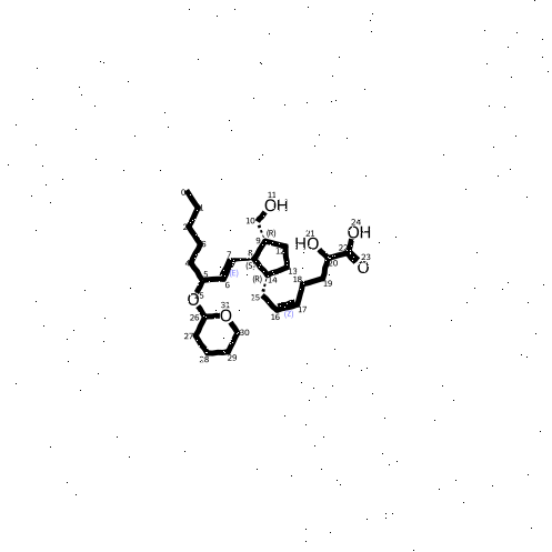 CCCCCC(/C=C/[C@H]1[C@H](CO)CC[C@@H]1C/C=C\CCC(O)C(=O)O)OC1CCCCO1